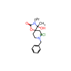 CCCN1C(=O)OC2(CCN(Cc3ccccc3)CC2)C1(C)O.Cl